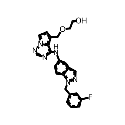 OCCOCc1ccn2ncnc(Nc3ccc4c(cnn4Cc4cccc(F)c4)c3)c12